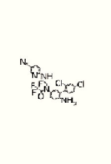 N#Cc1ccc(NCCN(C(=O)C(F)(F)F)c2ccc(N)c(-c3ccc(Cl)cc3Cl)c2)nc1